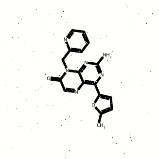 Cc1ccc(-c2nc(N)nc3c2ncc(=O)n3Cc2ccccn2)o1